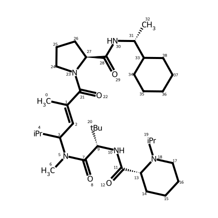 C/C(=C\C(C(C)C)N(C)C(=O)[C@@H](NC(=O)[C@H]1CCCCN1C(C)C)C(C)(C)C)C(=O)N1CCC[C@H]1C(=O)N[C@H](C)C1CCCCC1